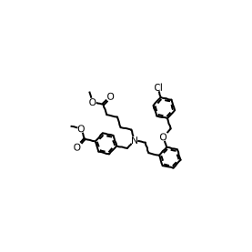 COC(=O)CCCCN(CCc1ccccc1OCc1ccc(Cl)cc1)Cc1ccc(C(=O)OC)cc1